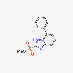 COS(=O)(=O)c1nc2cccc(-c3ccccc3)c2[nH]1